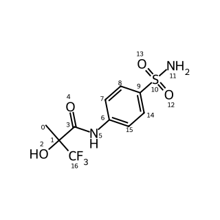 CC(O)(C(=O)Nc1ccc(S(N)(=O)=O)cc1)C(F)(F)F